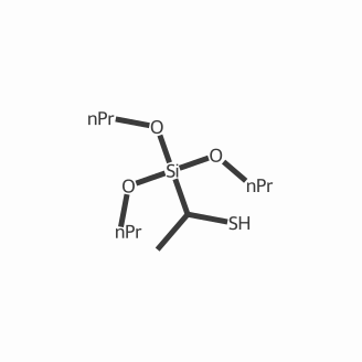 CCCO[Si](OCCC)(OCCC)C(C)S